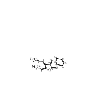 C=C/C=c1\c(=C/C)oc2cc3ccccc3cc12